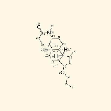 CCCOC1CC(C)[C@H]2[C@@H]3CCC4N(C)C(=O)CC[C@]4(C)[C@@H]3CC[C@]12C